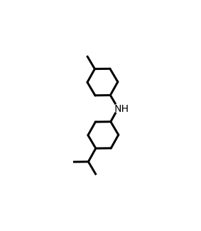 CC1CCC(NC2CCC(C(C)C)CC2)CC1